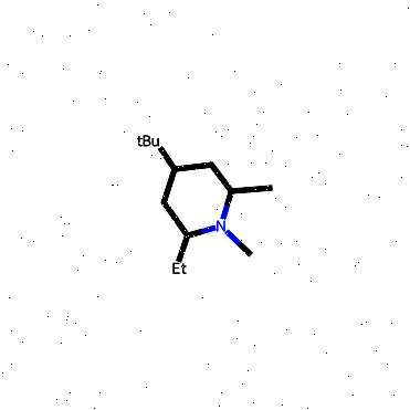 CCC1CC(C(C)(C)C)CC(C)N1C